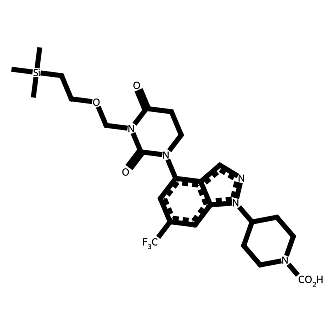 C[Si](C)(C)CCOCN1C(=O)CCN(c2cc(C(F)(F)F)cc3c2cnn3C2CCN(C(=O)O)CC2)C1=O